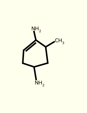 CC1CC(N)CC=C1N